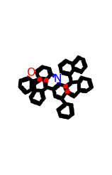 c1ccc(-c2ccc(N(c3ccc4oc5ccccc5c4c3)c3ccc4ccccc4c3-c3cccc4ccccc34)c(-c3cccc4ccccc34)c2)cc1